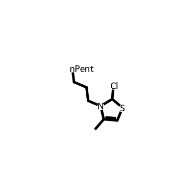 CCCCCCCCN1C(C)=CSC1Cl